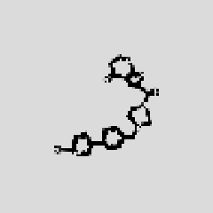 O=C1CCSc2sc(C(=O)N3CCN(Cc4ccc(-c5ccc(Cl)cc5)cc4)CC3)cc21